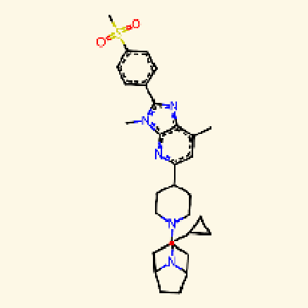 Cc1cc(C2CCN(C3CC4CCC(C3)N4CC3CC3)CC2)nc2c1nc(-c1ccc(S(C)(=O)=O)cc1)n2C